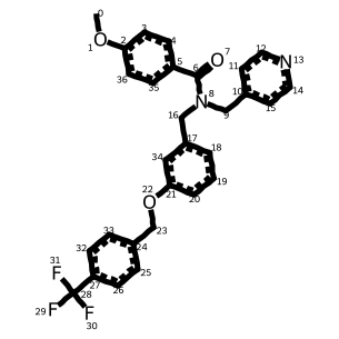 COc1ccc(C(=O)N(Cc2ccncc2)Cc2cccc(OCc3ccc(C(F)(F)F)cc3)c2)cc1